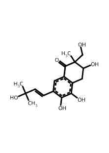 CC(C)(O)C=Cc1cc2c(c(O)c1O)CC(O)C(C)(CO)C2=O